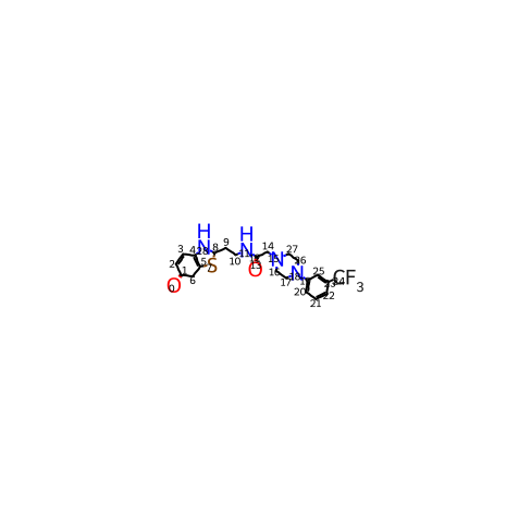 O=C1C=CC2=C(C1)SC(CCNC(=O)CN1CCN(c3cccc(C(F)(F)F)c3)CC1)N2